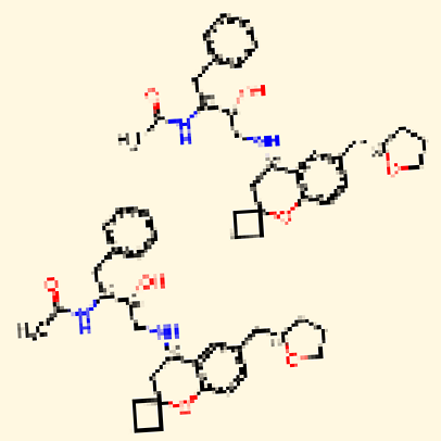 CC(=O)N[C@@H](Cc1ccccc1)[C@H](O)CN[C@H]1CC2(CCC2)Oc2ccc(C[C@@H]3CCCO3)cc21.CC(=O)N[C@@H](Cc1ccccc1)[C@H](O)CN[C@H]1CC2(CCC2)Oc2ccc(C[C@H]3CCCO3)cc21